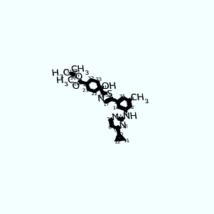 Cc1cc(Nc2nccc(C3CC3)n2)cc(-c2cnc(C3(O)CCC(C(=O)OC(C)(C)C)CC3)s2)c1